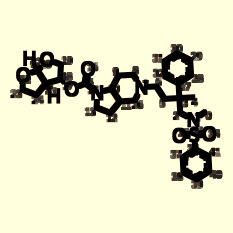 CN(CC(C)(CCN1CCC2C(CCN2C(=O)O[C@H]2CO[C@H]3OCC[C@H]32)C1)c1ccccc1)S(=O)(=O)c1ccccc1